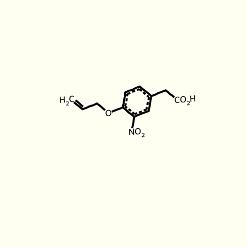 C=CCOc1ccc(CC(=O)O)cc1[N+](=O)[O-]